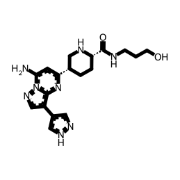 Nc1cc([C@H]2CC[C@@H](C(=O)NCCCO)NC2)nc2c(-c3cn[nH]c3)cnn12